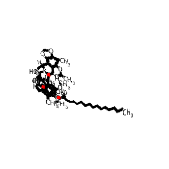 CCCCCCCCCCCCCCCC(=O)Oc1cc2c(cc1OC)[C@@]1(CS[C@@H]3c4c(OC(C)=O)c(C)c5c(c4[C@H](COC1=O)N1C3[C@H]3c4c(cc(C)c(OC)c4O)C[C@H]([C@@H]1O)N3C)OCO5)NCC2